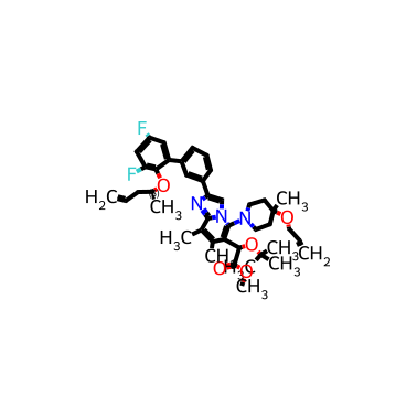 C=CCOC1(C)CCN(c2c(C(OC(C)(C)C)C(=O)OC)c(C)c(C)c3nc(-c4cccc(-c5cc(F)cc(F)c5O[C@@H](C)CC=C)c4)cn23)CC1